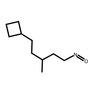 CC(CCN=O)CCC1CCC1